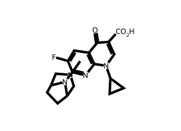 CN1CC2CCC(C1)N2c1nc2c(cc1F)c(=O)c(C(=O)O)cn2C1CC1